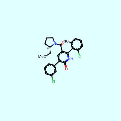 COC[C@H]1CCCN1C(=O)c1cc(-c2cccc(Cl)c2)c(=O)[nH]c1-c1c(Cl)cccc1C#N